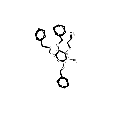 C=CCO[C@@H]1[C@H](N)[C@@H](OCc2ccccc2)O[C@H](COCc2ccccc2)[C@H]1OCc1ccccc1